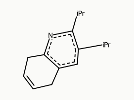 CC(C)c1cc2c(nc1C(C)C)CC=CC2